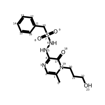 Cc1cnc(NNS(=O)(=O)Cc2ccccc2)c(=O)n1CCCO